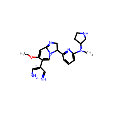 COC1=CC2=NCC(c3cccc(N(C)C4CCNC4)n3)N2C=C1/C(C=N)=C/N